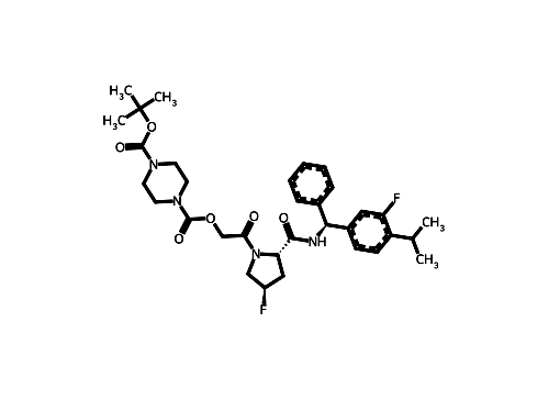 CC(C)c1ccc([C@@H](NC(=O)[C@@H]2C[C@@H](F)CN2C(=O)COC(=O)N2CCN(C(=O)OC(C)(C)C)CC2)c2ccccc2)cc1F